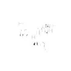 C[C@]12CCC(=O)C=C1CC[C@@H]1[C@@H]2[C@@H](O)C[C@@]2(C)[C@H]1CC[C@]2(O)C(=O)CO.O=P(O)(O)O.[NaH]